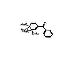 COC1(OC)C=CC(C(=O)c2ccccc2)=CC1(OC)OC